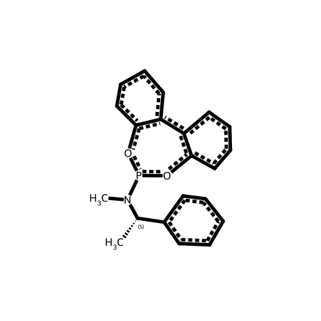 C[C@@H](c1ccccc1)N(C)p1oc2ccccc2c2ccccc2o1